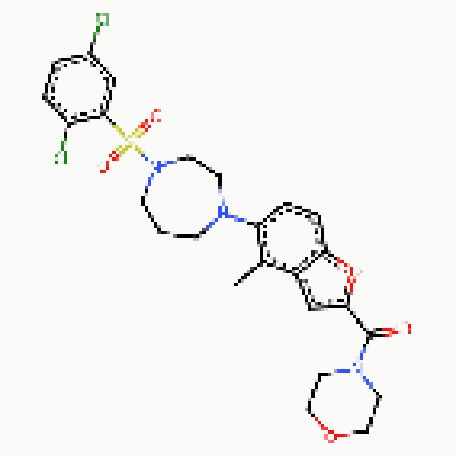 Cc1c(N2CCCN(S(=O)(=O)c3cc(Cl)ccc3Cl)CC2)ccc2oc(C(=O)N3CCOCC3)cc12